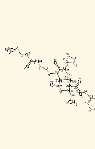 C=CCOC(=O)NCCC[C@H]1C(=O)N(C2CCCC2)C[C@H]2N1C(=O)CN(CC)N2C(=O)NCc1ccccc1